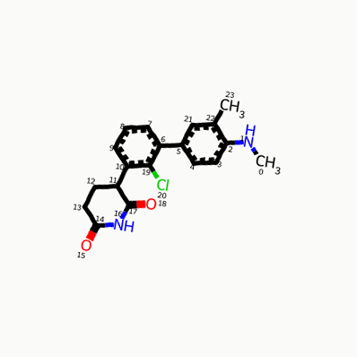 CNc1ccc(-c2cccc(C3CCC(=O)NC3=O)c2Cl)cc1C